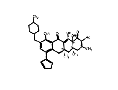 CC(=O)C1=C(C)C[C@@]2(C)C[C@@]3(C)Cc4c(C5=CCC=C5)cc(CC5CCC(C)CC5)c(O)c4C(=O)C3=C(O)[C@]2(O)C1=O